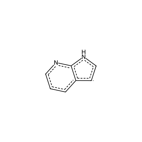 [c]1c[nH]c2ncccc12